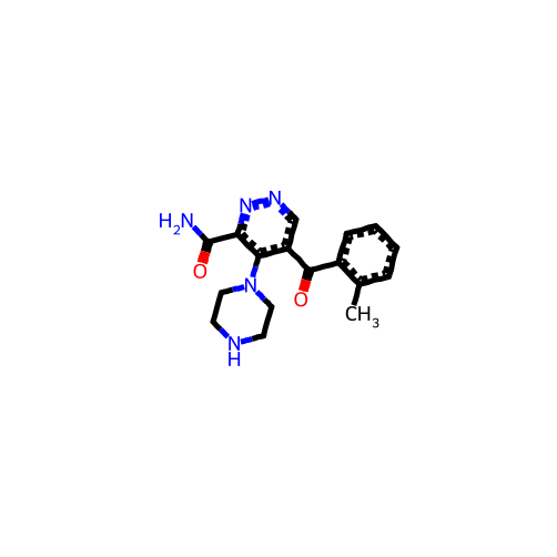 Cc1ccccc1C(=O)c1cnnc(C(N)=O)c1N1CCNCC1